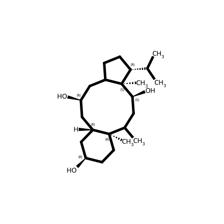 CC(C)[C@H]1CCC2C[C@H](O)C[C@H]3C[C@H](O)CC[C@]3(C)C(C)C[C@H](O)[C@@]21C